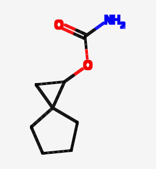 NC(=O)OC1CC12CCCC2